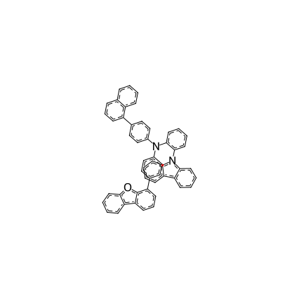 c1ccc(-n2c3ccccc3c3ccccc32)c(N(c2ccc(-c3cccc4ccccc34)cc2)c2ccc(-c3cccc4c3oc3ccccc34)cc2)c1